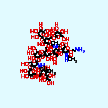 CC(=O)NC1[C@H](OCCN)OC(CO)[C@@H](O[C@@H]2OC(CO)[C@@H](O[C@@H]3OC(CO[C@H]4OC(CO[C@H]5OC(CO)[C@@H](O)[C@H](O)C5O)[C@@H](O)[C@H](O[C@H]5O[C@@H](CO)[C@@H](O)C(O)C5O)C4O)[C@@H](O)[C@H](O[C@H]4O[C@@H](CO)[C@@H](O)C(O)C4O[C@@H]4OC(CO)[C@@H](O[C@@H]5OC(CO[C@]6(C(=O)O)C[C@@H](O)[C@@H](C)C([C@H](O)[C@H](O)CO)O6)[C@H](O)[C@H](O)C5O)[C@H](O)C4NC(C)=O)C3O)[C@H](O)C2NC(C)=O)[C@@H]1O